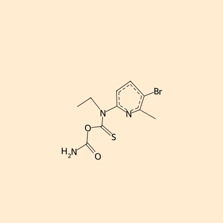 CCN(C(=S)OC(N)=O)c1ccc(Br)c(C)n1